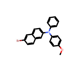 COc1ccc(N(c2ccccc2)c2ccc3cc(Br)ccc3c2)cc1